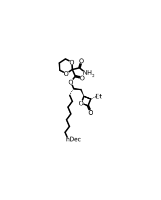 CCCCCCCCCCCCCCCCC[C@@H](C[C@@H]1OC(=O)[C@H]1CC)OC(=O)C1(C(N)=O)OCCCO1